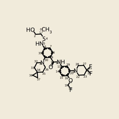 C[C@@H](CO)SNc1ccc(C(=O)Nc2ccc(OCF)c(N3CCC(F)(F)CC3)c2)c(N2CCC3(CC2)CC3)c1